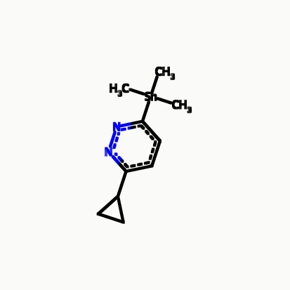 [CH3][Sn]([CH3])([CH3])[c]1ccc(C2CC2)nn1